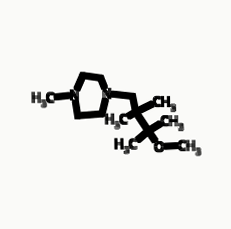 COC(C)(C)C(C)(C)CN1CCN(C)CC1